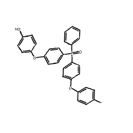 Cc1ccc(Oc2ccc(P(=O)(c3ccccc3)c3ccc(Oc4ccc(O)cc4)cc3)cc2)cc1